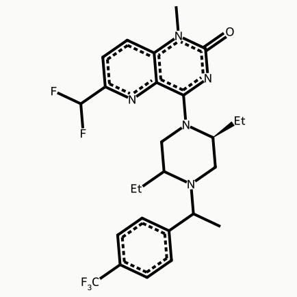 CCC1CN(c2nc(=O)n(C)c3ccc(C(F)F)nc23)[C@@H](CC)CN1C(C)c1ccc(C(F)(F)F)cc1